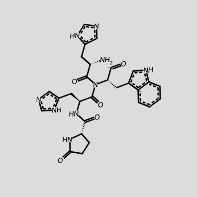 N[C@@H](Cc1cnc[nH]1)C(=O)N(C(=O)[C@H](Cc1cnc[nH]1)NC(=O)[C@@H]1CCC(=O)N1)[C@H]([C]=O)Cc1c[nH]c2ccccc12